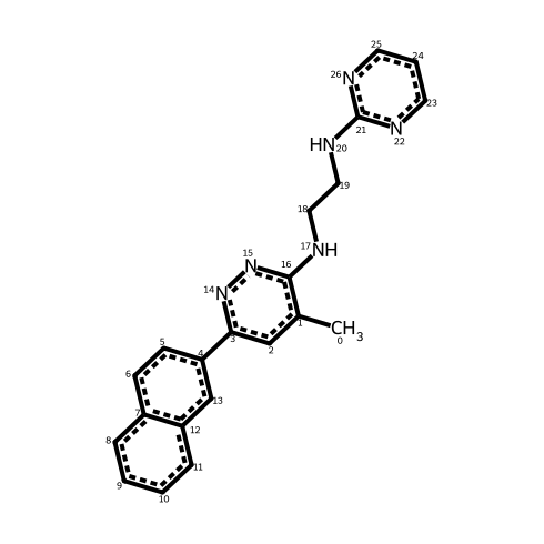 Cc1cc(-c2ccc3ccccc3c2)nnc1NCCNc1ncccn1